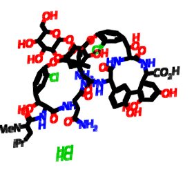 CNC(CC(C)C)C(=O)NC1C(=O)NC(CC(N)=O)C(=O)NC2C(=O)NC3C(=O)NC(C(=O)NC(C(=O)O)c4cc(O)cc(O)c4-c4cc3ccc4O)C(O)c3ccc(c(Cl)c3)Oc3cc2cc(c3OC2OC(CO)C(O)C(O)C2OC2CC(C)(N)C(O)C(C)O2)Oc2ccc(cc2Cl)C1O.Cl.Cl